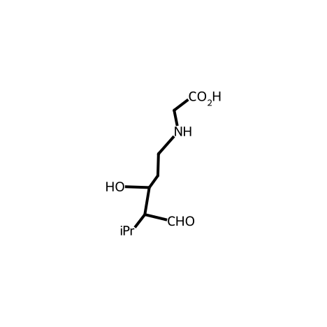 CC(C)C(C=O)C(O)CCNCC(=O)O